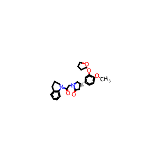 COc1ccc([C@@H]2CC(=O)N(CC(=O)N3CCCc4ccccc43)C2)cc1OC1CCCO1